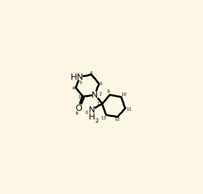 NC1(N2CCNCC2=O)CCCCC1